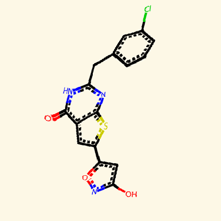 O=c1[nH]c(Cc2cccc(Cl)c2)nc2sc(-c3cc(O)no3)cc12